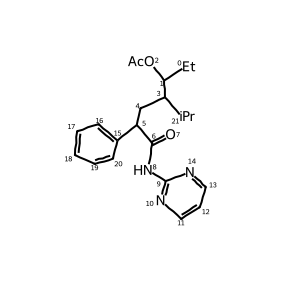 CCC(OC(C)=O)C(CC(C(=O)Nc1ncccn1)c1ccccc1)C(C)C